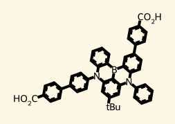 CC(C)(C)c1cc2c3c(c1)N(c1ccccc1)c1ccc(-c4ccc(C(=O)O)cc4)cc1B3c1ccccc1N2c1ccc(-c2ccc(C(=O)O)cc2)cc1